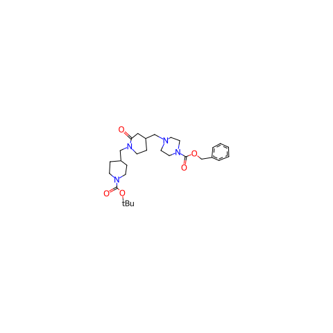 CC(C)(C)OC(=O)N1CCC(CN2CCC(CN3CCN(C(=O)OCc4ccccc4)CC3)CC2=O)CC1